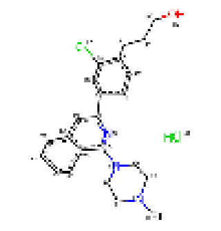 CCN1CCN(c2nc(-c3ccc(CCCO)c(Cl)c3)cc3ccccc23)CC1.Cl